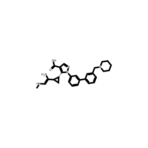 CN/C=C(\N)C1C[C@H]1c1c(C(=O)O)cnn1-c1cccc(-c2cccc(CN3CCCCC3)c2)c1